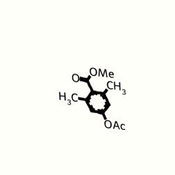 COC(=O)c1c(C)cc(OC(C)=O)cc1C